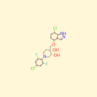 O[C@@H]1CN(c2c(F)cc(Cl)cc2F)CC[C@@]1(O)COc1ccc(Cl)c2[nH]ncc12